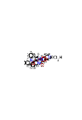 Cc1c(C(=O)N(c2ccccc2)c2ccccc2)cn(-c2cc3c(cc2C(=O)N2Cc4ccccc4C[C@H]2CN2CCOCC2)CN(C(=O)O)CC3)c1C